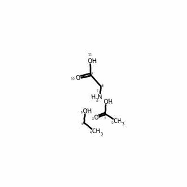 CC(=O)O.CCO.NCC(=O)O